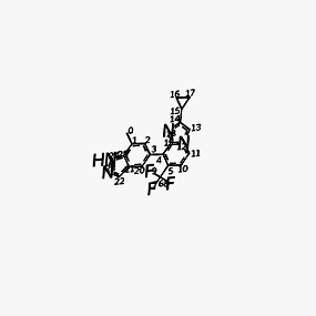 Cc1cc(-c2c(C(F)(F)F)ccn3cc(C4CC4)nc23)cc2cn[nH]c12